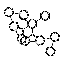 N#Cc1cc(-c2ccncc2)cc(-n2c3ccccc3c3ccc(-c4ccccc4-c4ccccc4)cc32)c1-n1c2ccccc2c2ccc(-c3ccccc3-c3ccccc3)cc21